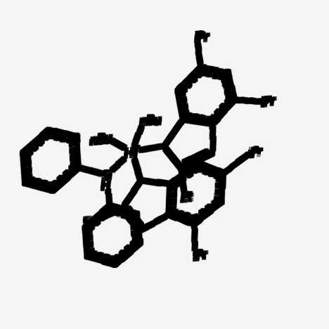 CCC[CH2][Hf]([CH2]CCC)([CH]1C(CC)=Cc2c(C(C)C)cc(C(C)C)cc21)([CH]1C(CC)=Cc2c(C(C)C)cc(C(C)C)cc21)[SiH](c1ccccc1)c1ccccc1